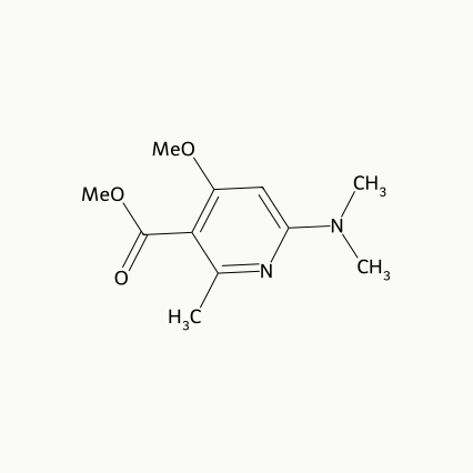 COC(=O)c1c(OC)cc(N(C)C)nc1C